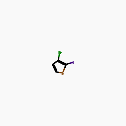 Brc1ccsc1I